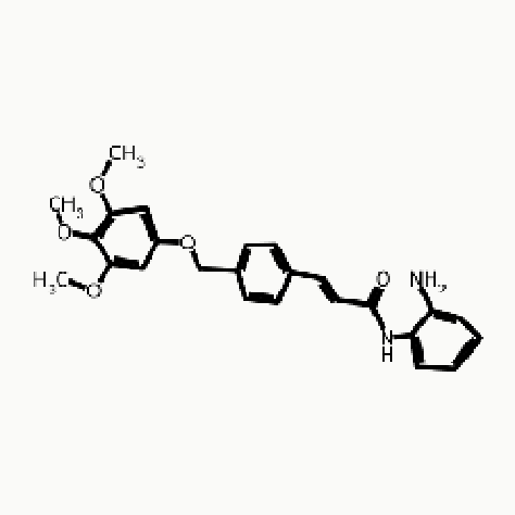 COc1cc(OCc2ccc(C=CC(=O)Nc3ccccc3N)cc2)cc(OC)c1OC